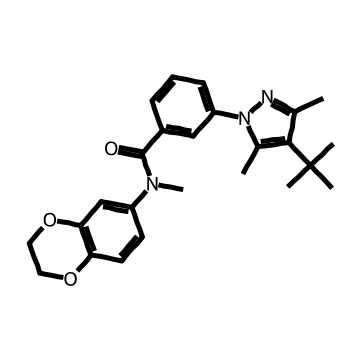 Cc1nn(-c2cccc(C(=O)N(C)c3ccc4c(c3)OCCO4)c2)c(C)c1C(C)(C)C